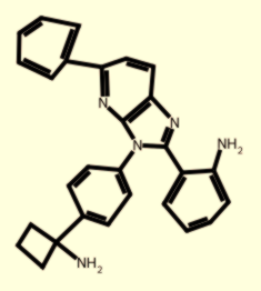 Nc1ccccc1-c1nc2ccc(-c3ccccc3)nc2n1-c1ccc(C2(N)CCC2)cc1